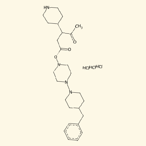 CC(=O)C(CC(=O)ON1CCN(N2CCC(Cc3ccccc3)CC2)CC1)C1CCNCC1.Cl.Cl.Cl